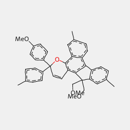 COCC1(COC)c2cc(C)ccc2-c2c1c1c(c3cc(C)ccc23)OC(c2ccc(C)cc2)(c2ccc(OC)cc2)C=C1